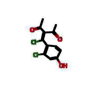 CC(=O)C(C(C)=O)=C(Cl)c1ccc(O)cc1Cl